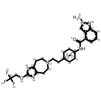 Cn1cc2c(C(=O)NC34CCC(CCN5CCc6nc(OCC(F)(F)F)sc6CC5)(CC3)OC4)cccc2n1